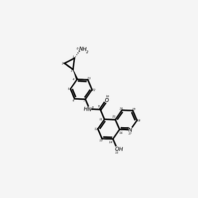 N[C@H]1C[C@@H]1c1ccc(NC(=O)c2ccc(O)c3ncccc23)cc1